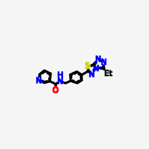 CCc1nnc2sc(-c3ccc(CNC(=O)c4cccnc4)cc3)nn12